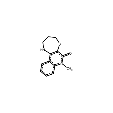 Cn1c(=O)c2c(c3ccccc31)NCCCO2